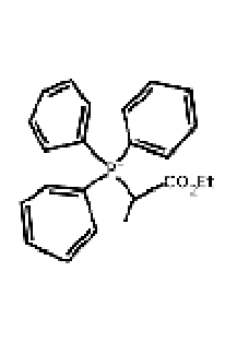 CCOC(=O)C(C)[P+](c1ccccc1)(c1ccccc1)c1ccccc1